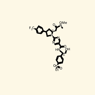 CCS(=O)(=O)c1ccc([C@H](CO)NC(=O)c2cnc(N3CC(c4ccc(C(F)(F)F)cc4)C[C@H]3CC(=O)N(C)OC)nc2)cc1